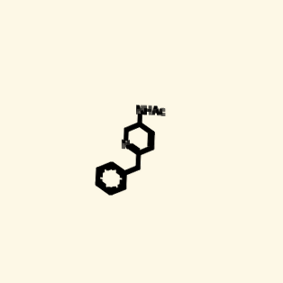 CC(=O)NC1C=CC(Cc2ccccc2)=NC1